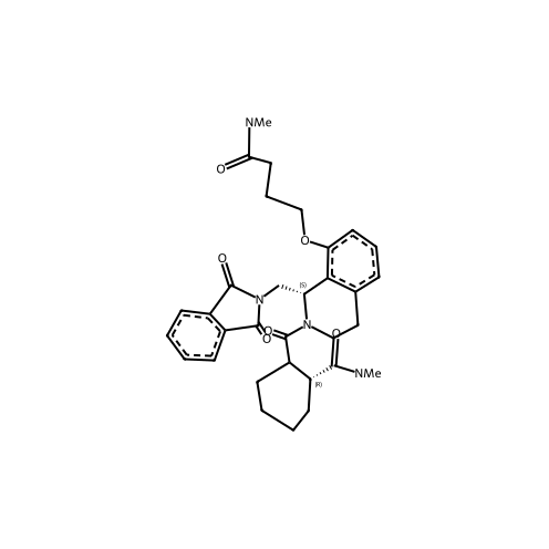 CNC(=O)CCCOc1cccc2c1[C@@H](CN1C(=O)c3ccccc3C1=O)N(C(=O)C1CCCC[C@H]1C(=O)NC)CC2